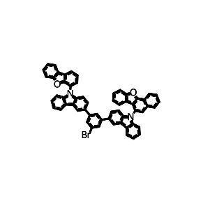 Brc1cc(-c2ccc3c(c2)c2ccccc2n3-c2cccc3c2oc2ccccc23)cc(-c2ccc3c(c2)c2ccccc2n3-c2cc3ccccc3c3oc4ccccc4c23)c1